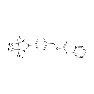 CC1(C)OB(c2ccc(COC(=S)Oc3ccccn3)cc2)OC1(C)C